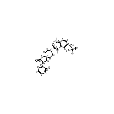 Nc1ccc(OC(F)(F)F)cc1NC(=O)[C@H]1CC[C@]2(CC1)CN(c1ccccc1F)C(=O)O2